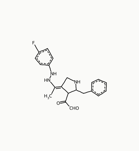 CC(NNc1ccc(F)cc1)=C1CNC(Cc2ccccc2)C1C(=O)C=O